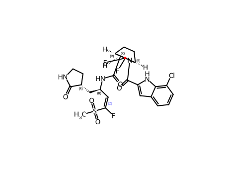 CS(=O)(=O)/C(F)=C\[C@@H](C[C@H]1CCNC1=O)NC(=O)[C@H]1[C@H]2CC[C@H](CC2(F)F)N1C(=O)c1cc2cccc(Cl)c2[nH]1